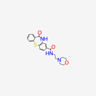 O=C(NCCN1CCOCC1)c1ccc2c(c1)NC(=O)c1ccccc1S2